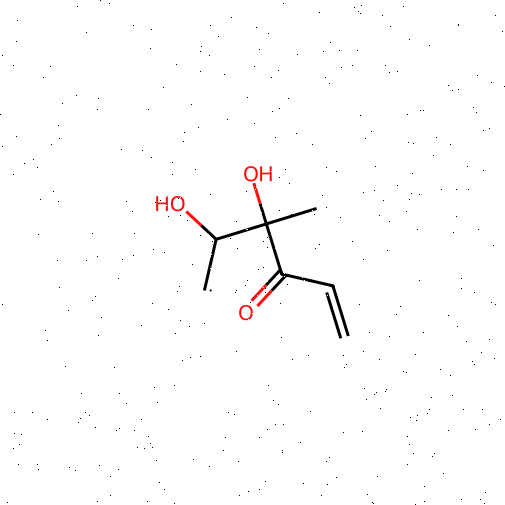 [CH2]C(O)C(C)(O)C(=O)C=C